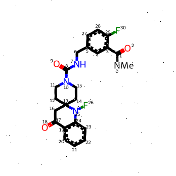 CNC(=O)c1cc(CNC(=O)N2CCC3(CC2)CC(=O)c2ccccc2N3F)ccc1F